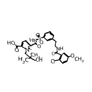 COc1ccc(Cl)c(C(=O)NCCc2cccc(S(=O)(=O)NC(=O)C3=CC=C(C(=O)O)N(CC(C)(C)CO)C3)c2)c1